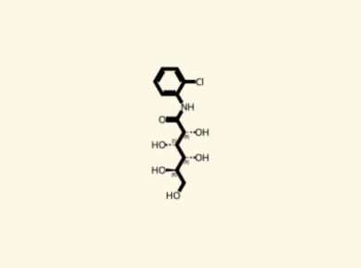 O=C(Nc1ccccc1Cl)[C@H](O)[C@@H](O)[C@H](O)[C@H](O)CO